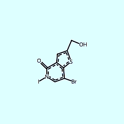 O=c1c2cc(CO)sc2c(Br)cn1I